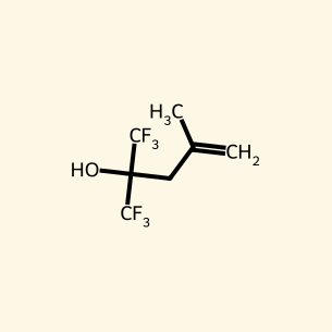 C=C(C)CC(O)(C(F)(F)F)C(F)(F)F